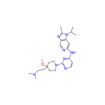 COC1(CCN(C)C)CCN(c2nccc(Nc3cc4c(cn3)nc(C)n4C(C)C)n2)CC1